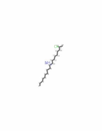 CCCCCCCCCCCCCCCCCC(C)Cl.N